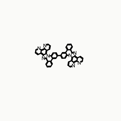 c1ccc2c(c1)c1cc(-c3ccc4c(c3)c3ccccc3c3nc5c6cccnc6c6ncccc6c5n43)ccc1n1c2nc2c3cccnc3c3ncccc3c21